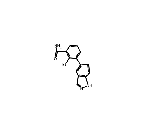 CCc1c(C(N)=O)cccc1-c1ccc2[nH]ncc2c1